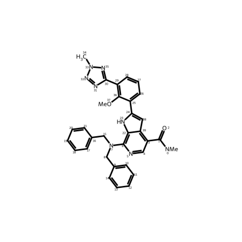 CNC(=O)c1cnc(N(Cc2ccccc2)Cc2ccccc2)c2[nH]c(-c3cccc(-c4nnn(C)n4)c3OC)cc12